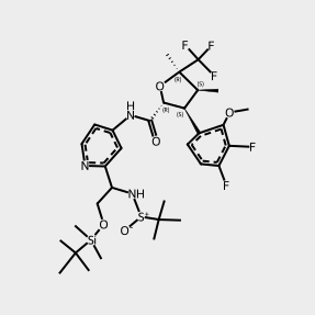 COc1c([C@H]2[C@H](C(=O)Nc3ccnc(C(CO[Si](C)(C)C(C)(C)C)N[S+]([O-])C(C)(C)C)c3)O[C@@](C)(C(F)(F)F)[C@H]2C)ccc(F)c1F